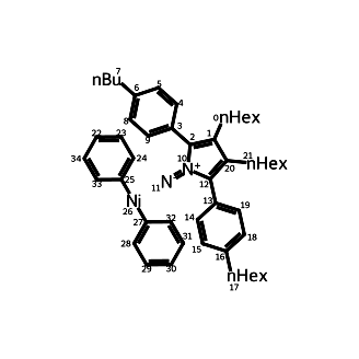 CCCCCCC1=C(c2ccc(CCCC)cc2)[N+](=[N-])C(c2ccc(CCCCCC)cc2)=C1CCCCCC.c1cc[c]([Ni][c]2ccccc2)cc1